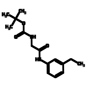 CCc1cccc(NC(=O)CNC(=O)OC(C)(C)C)c1